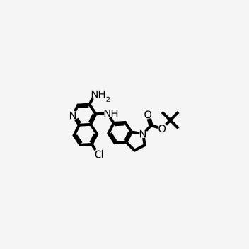 CC(C)(C)OC(=O)N1CCc2ccc(Nc3c(N)cnc4ccc(Cl)cc34)cc21